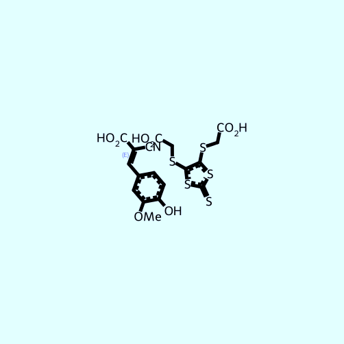 COc1cc(/C=C(\C#N)C(=O)O)ccc1O.O=C(O)CSc1sc(=S)sc1SCC(=O)O